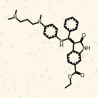 CCOC(=O)c1ccc2c(c1)NC(=O)C2=C(Nc1ccc(N(C)CCCN(C)C)cc1)c1ccccc1